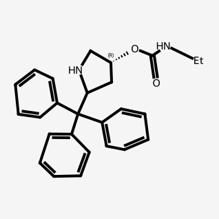 CCNC(=O)O[C@H]1CNC(C(c2ccccc2)(c2ccccc2)c2ccccc2)C1